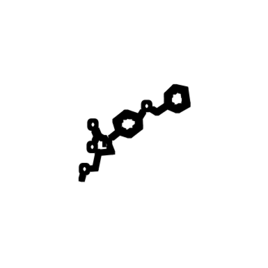 COCC1CN(c2ccc(OCc3ccccc3)cc2)C(=O)O1